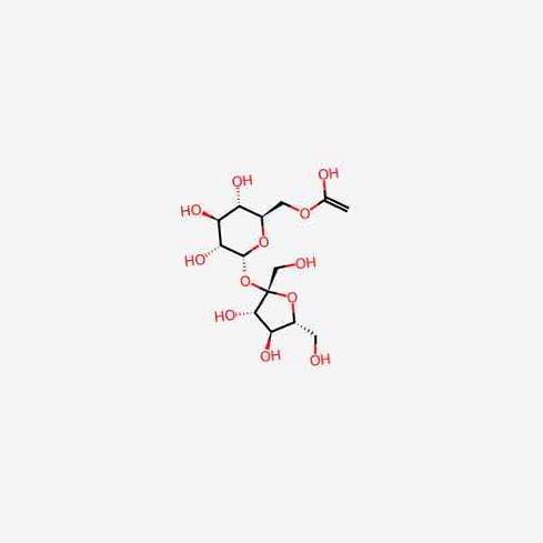 C=C(O)OC[C@H]1O[C@H](O[C@]2(CO)O[C@H](CO)[C@@H](O)[C@@H]2O)[C@H](O)[C@@H](O)[C@@H]1O